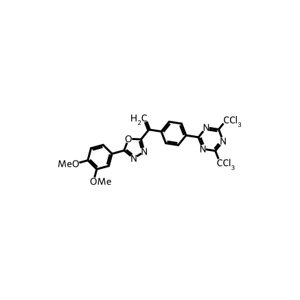 C=C(c1ccc(-c2nc(C(Cl)(Cl)Cl)nc(C(Cl)(Cl)Cl)n2)cc1)c1nnc(-c2ccc(OC)c(OC)c2)o1